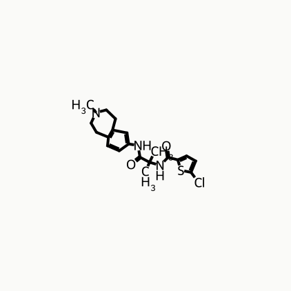 CN1CCc2ccc(NC(=O)C(C)(C)NC(=O)c3ccc(Cl)s3)cc2CC1